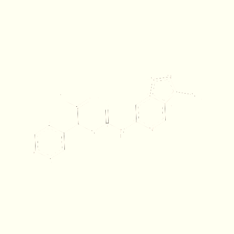 Nc1n[nH]c2cc(NC(=O)NC(C(=O)O)c3ccccc3)ncc12